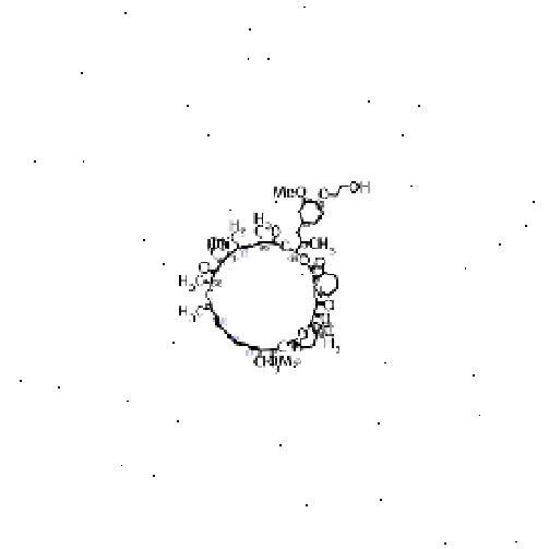 CO[C@H]1C[C@@H]2CC[C@@H](C)[C@@](O)(O2)C(=O)C(=O)N2CCCC[C@H]2C(=O)O[C@H]([C@H](C)C[C@@H]2CC[C@@H](OCCO)[C@H](OC)C2)CC(=O)[C@H](C)/C=C(\C)[C@@H](O)[C@@H](CO)C(=O)[C@H](C)C[C@H](C)/C=C/C=C/C=C/1C